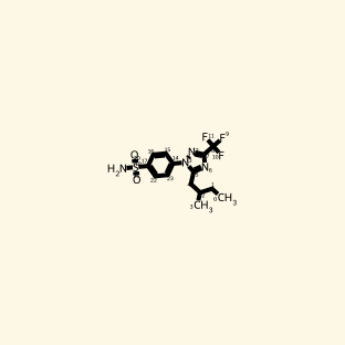 CCC(C)Cc1nc(C(F)(F)F)nn1-c1ccc(S(N)(=O)=O)cc1